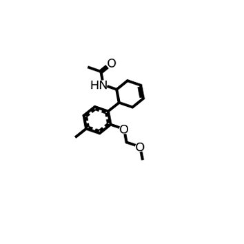 COCOc1cc(C)ccc1C1CC=CCC1NC(C)=O